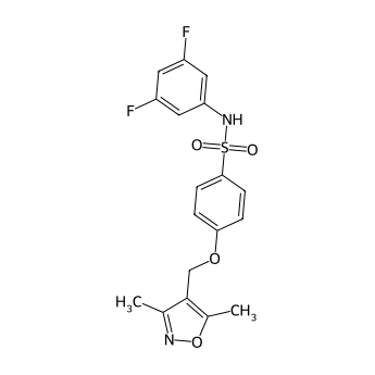 Cc1noc(C)c1COc1ccc(S(=O)(=O)Nc2cc(F)cc(F)c2)cc1